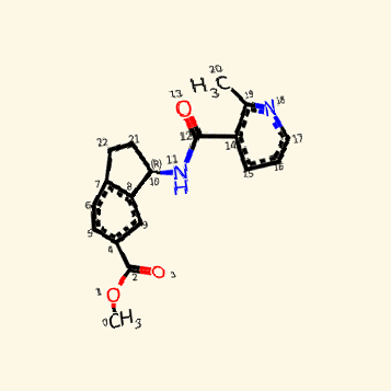 COC(=O)c1ccc2c(c1)[C@H](NC(=O)c1cccnc1C)CC2